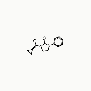 O=C1N(C(Cl)=C2CC2)CCN1c1ccccc1